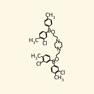 Cc1ccc(B(OCCN2CCN(CCOB(c3ccc(C)c(Cl)c3)c3ccc(C)c(Cl)c3)CC2)c2ccc(C)c(Cl)c2)cc1